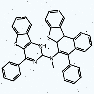 CN(C1=C(c2ccccc2)c2ccccc2C2c3ccccc3SC12)C1N=C(c2ccccc2)c2sc3ccccc3c2N1